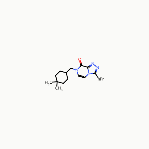 CCCc1nnc2c(=O)n(CC3CCC(C)(C)CC3)ccn12